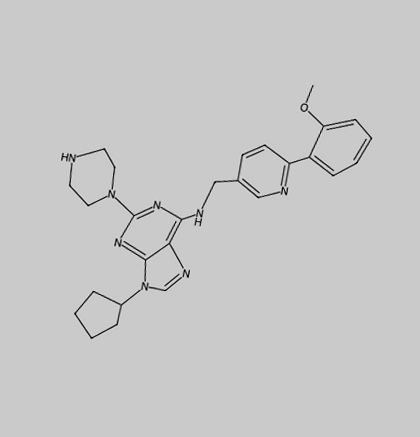 COc1ccccc1-c1ccc(CNc2nc(N3CCNCC3)nc3c2ncn3C2CCCC2)cn1